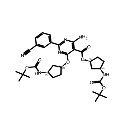 CC(C)(C)OC(=O)N[C@@H]1CC[C@H](OC(=O)c2c(N)nc(-c3cccc(C#N)c3)nc2O[C@H]2CC[C@@H](NC(=O)OC(C)(C)C)C2)C1